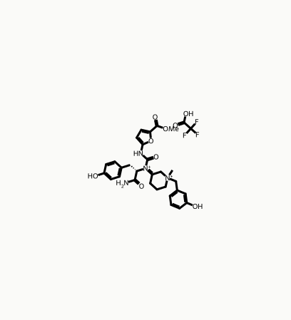 COC(=O)c1ccc(NC(=O)/[N+](=C2/CCC[N+](C)(Cc3cccc(O)c3)C2)[C@@H](Cc2ccc(O)cc2)C(N)=O)o1.O=C(O)C(F)(F)F